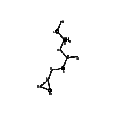 CO[SiH2]CC(C)OCC1CO1